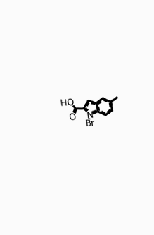 Cc1ccc2c(c1)cc(C(=O)O)n2Br